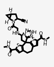 CNC(=O)c1cc2c(s1)C(C[C@H](C)NCC(=O)N1C(C#N)C[C@@H]3C[C@@H]31)(c1nn[nH]n1)c1sc(C(=O)NC)cc1CC2